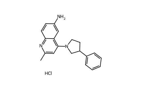 Cc1cc(N2CCC(c3ccccc3)C2)c2cc(N)ccc2n1.Cl